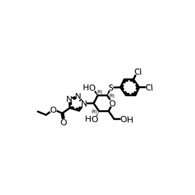 CCOC(=O)c1cn(C2[C@@H](O)C(CO)O[C@H](Sc3ccc(Cl)c(Cl)c3)[C@@H]2O)nn1